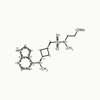 COCCN(C)S(=O)(=O)C[C@H]1C[C@@H](N(C)c2ncnc3[nH]ccc23)C1